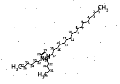 CCCCCCCCCCCCCCCCCCn1cc[n+](CCCCCC)c1CCCC